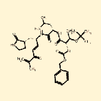 C=C(C)C(=O)/C=C/[C@H](C[C@@H]1CCNC1=O)NC(=O)[C@H](CC(C)C)NC(=O)[C@@H](NC(=O)OCc1ccccc1)C(C)OC(C)(C)C